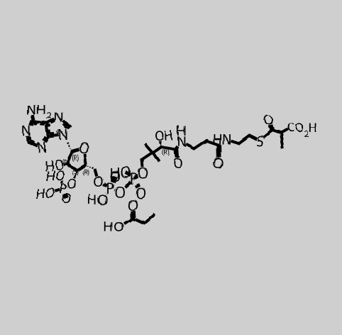 CC(C(=O)O)C(=O)SCCNC(=O)CCNC(=O)[C@H](O)C(C)(C)COP(=O)(O)OP(=O)(O)OC[C@H]1O[C@@H](n2cnc3c(N)ncnc32)[C@H](O)[C@@H]1OP(=O)(O)O.CCC(=O)O